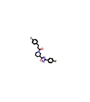 O=C(CCc1ccc(F)cc1)N1CCCC(c2nc(-c3ccc(F)cc3)no2)C1